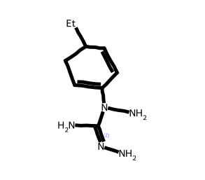 CCC1C=CC(N(N)/C(N)=N\N)=CC1